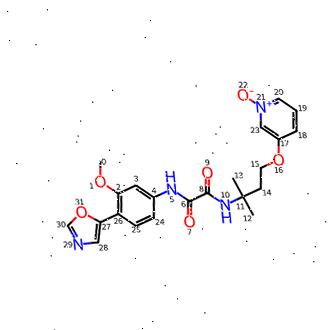 COc1cc(NC(=O)C(=O)NC(C)(C)CCOc2ccc[n+]([O-])c2)ccc1-c1cnco1